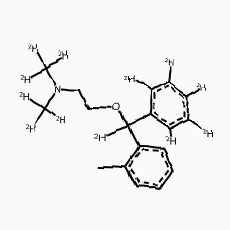 [2H]c1c([2H])c([2H])c(C([2H])(OCCN(C([2H])([2H])[2H])C([2H])([2H])[2H])c2ccccc2C)c([2H])c1[2H]